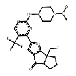 C[S+]([O-])N1CCC(Nc2ncc(C(F)(F)F)c(-c3cc4c(s3)C3(CF)CCCN3C4=O)n2)CC1